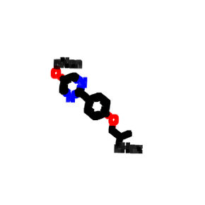 CCCCCCCCCOc1cnc(-c2ccc(OCC(C)CCCCCC)cc2)nc1